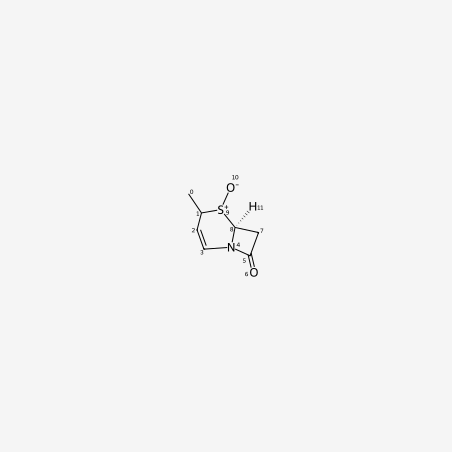 CC1C=CN2C(=O)C[C@@H]2[S+]1[O-]